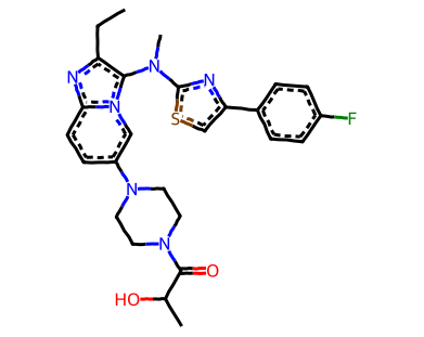 CCc1nc2ccc(N3CCN(C(=O)C(C)O)CC3)cn2c1N(C)c1nc(-c2ccc(F)cc2)cs1